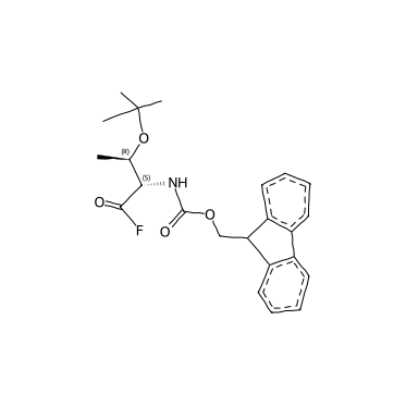 C[C@@H](OC(C)(C)C)[C@H](NC(=O)OCC1c2ccccc2-c2ccccc21)C(=O)F